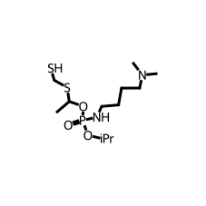 CC(C)OP(=O)(NCCCCN(C)C)OC(C)SCS